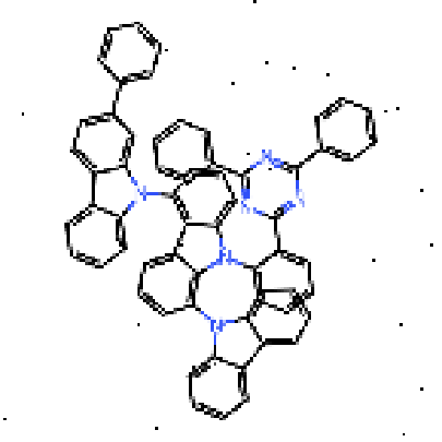 c1ccc(-c2ccc3c4ccccc4n(-c4cccc5c4c4cccc(-n6c7ccccc7c7ccccc76)c4n5-c4ccccc4-c4nc(-c5ccccc5)nc(-c5ccccc5)n4)c3c2)cc1